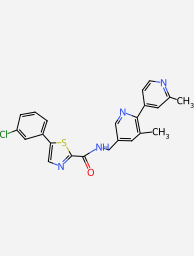 Cc1cc(-c2ncc(CNC(=O)c3ncc(-c4cccc(Cl)c4)s3)cc2C)ccn1